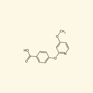 COc1ccnc(Oc2ccc(C(=O)O)cc2)c1